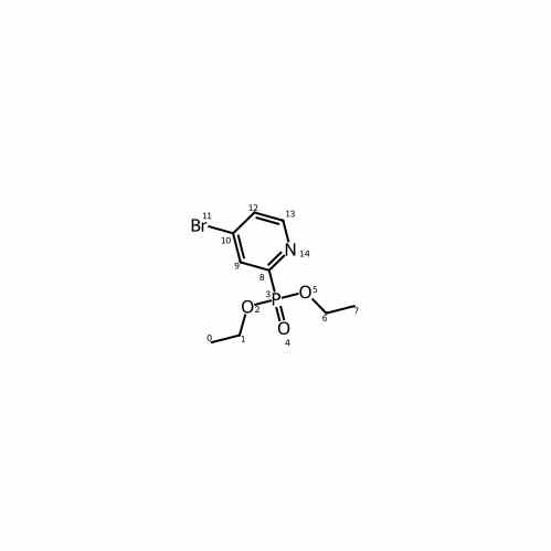 CCOP(=O)(OCC)c1cc(Br)ccn1